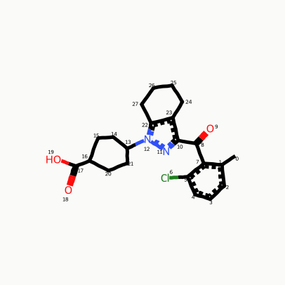 Cc1cccc(Cl)c1C(=O)c1nn(C2CCC(C(=O)O)CC2)c2c1CCCC2